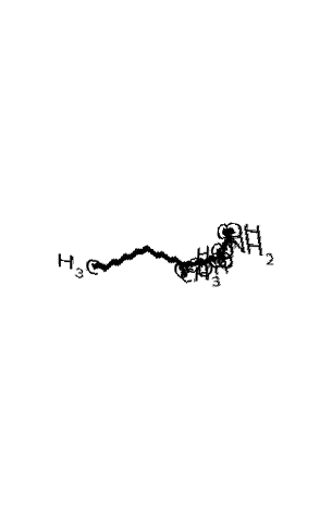 CCCCCCCCCCCCCCC(COC[C@@H](O)COP(=O)(O)OC[C@H](N)C(=O)O)OC